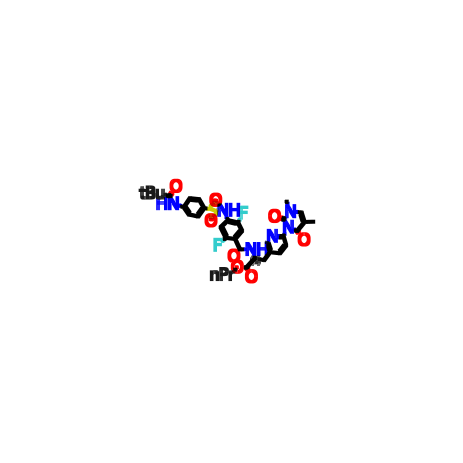 CCCOC(=O)[C@H](Cc1ccc(-n2c(=O)c(C)cn(C)c2=O)nc1)NC(=O)c1cc(F)c(NS(=O)(=O)c2ccc(NC(=O)C(C)(C)C)cc2)cc1F